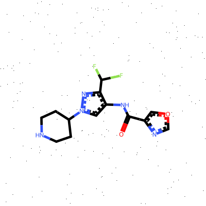 O=C(Nc1cn(C2CCNCC2)nc1C(F)F)c1cocn1